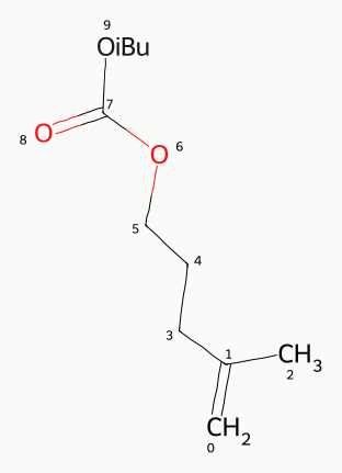 C=C(C)CCCOC(=O)OCC(C)C